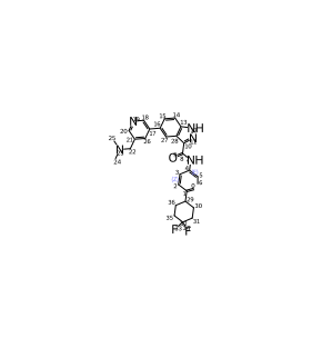 C=C(/C=C\C(=C/C)NC(=O)c1n[nH]c2ccc(-c3cncc(CN(C)C)c3)cc12)C1CCC(F)(F)CC1